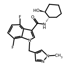 Cn1cc(Cn2cc(C(=O)N[C@H]3CCCC[C@@H]3O)c3c(F)ccc(F)c32)cn1